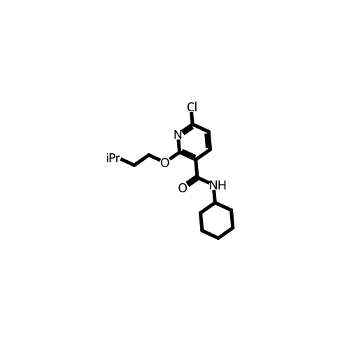 CC(C)CCOc1nc(Cl)ccc1C(=O)NC1CCCCC1